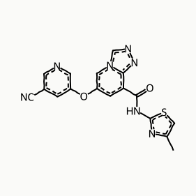 Cc1csc(NC(=O)c2cc(Oc3cncc(C#N)c3)cn3cnnc23)n1